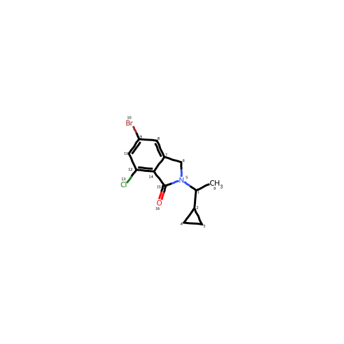 CC(C1CC1)N1Cc2cc(Br)cc(Cl)c2C1=O